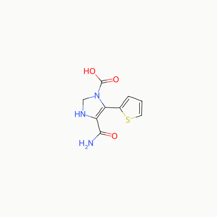 NC(=O)C1=C(c2cccs2)N(C(=O)O)CN1